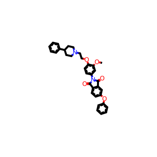 COc1cc(N2C(=O)c3ccc(Oc4ccccc4)cc3C2=O)ccc1OCCN1CCC(c2ccccc2)CC1